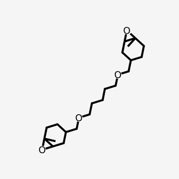 CC12CCC(COCCCCCOCC3CCC4(C)OC4C3)CC1O2